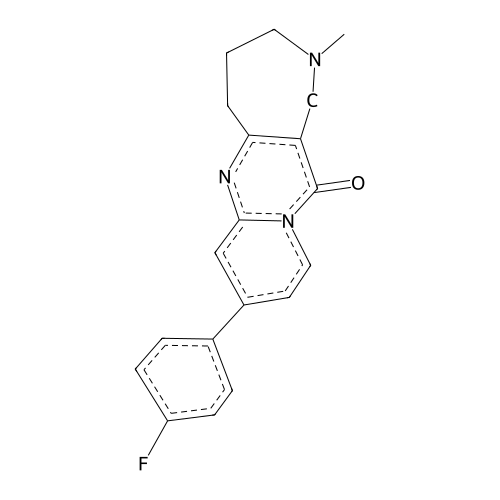 CN1CCCc2nc3cc(-c4ccc(F)cc4)ccn3c(=O)c2C1